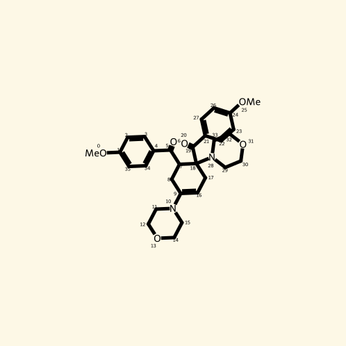 COc1ccc(C(=O)C2CC(N3CCOCC3)=CCC2(C(=O)c2ccc(OC)cc2)N2CCOCC2)cc1